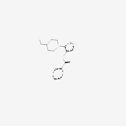 NCC1CCN(c2n[nH]cc2NC(=O)c2cnccn2)CC1